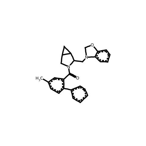 Cc1ccc(-c2ccccc2)c(C(=O)N2CC3CC3C2CN2COc3ccccc32)c1